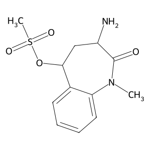 CN1C(=O)C(N)CC(OS(C)(=O)=O)c2ccccc21